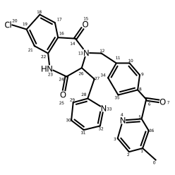 Cc1ccnc(C(=O)c2ccc(CN3C(=O)c4ccc(Cl)cc4NC(=O)C3Cc3ccccn3)cc2)c1